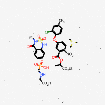 CC(C)N1C(=O)c2ccccc2NS1(=O)=O.CCOC(=O)C(C)OC(=O)c1cc(Oc2ccc(C(F)(F)F)cc2Cl)ccc1[N+](=O)[O-].C[S+](C)C.O=C(O)CNCP(=O)([O-])O